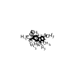 COc1cc(C)c(C(C)(O)c2ccc(OC)c(C(C)C)c2)c(C)c1